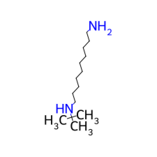 CC(C)(C)NCCCCCCCCCCN